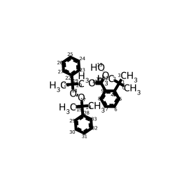 CC(C)(C)c1ccccc1C(=O)OO.CC(C)(OOC(C)(C)c1ccccc1)c1ccccc1